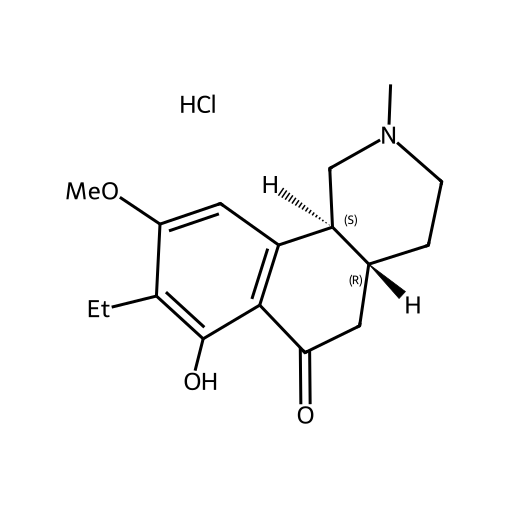 CCc1c(OC)cc2c(c1O)C(=O)C[C@H]1CCN(C)C[C@H]21.Cl